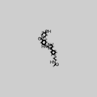 CC(=O)NCCSc1ccc(-c2ccnc(Nc3ccc(C(=O)N4CCC(O)CC4)cc3)n2)cc1